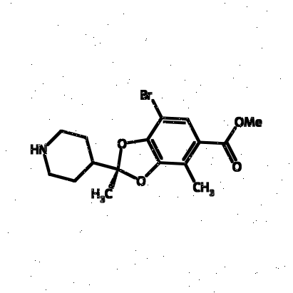 COC(=O)c1cc(Br)c2c(c1C)O[C@](C)(C1CCNCC1)O2